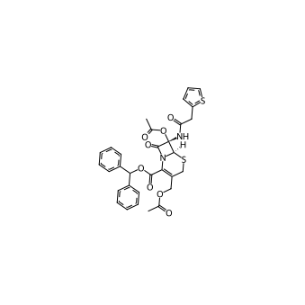 CC(=O)OCC1=C(C(=O)OC(c2ccccc2)c2ccccc2)N2C(=O)[C@](NC(=O)Cc3cccs3)(OC(C)=O)[C@H]2SC1